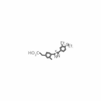 CCOc1ccc(-c2nnc(-c3ccc(CCC(=O)O)cc3C)s2)cc1CC